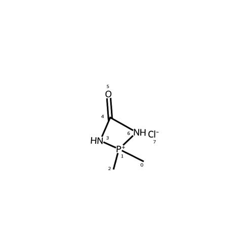 C[P+]1(C)NC(=O)N1.[Cl-]